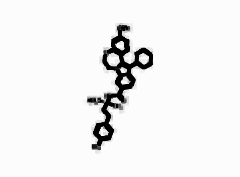 COc1ccc2c(c1)OCCn1c-2c(C2CCCCC2)c2ccc(C(=O)N[C@@](C)(CCc3ccc(O)cc3)C(=O)O)cc21